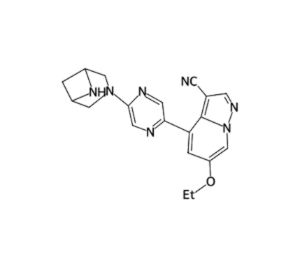 CCOc1cc(-c2cnc(N3CC4CC(C3)N4)cn2)c2c(C#N)cnn2c1